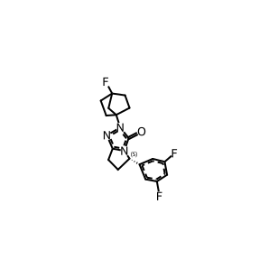 O=c1n(C23CCC(F)(CC2)C3)nc2n1[C@H](c1cc(F)cc(F)c1)CC2